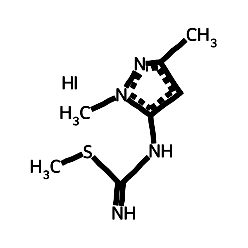 CSC(=N)Nc1cc(C)nn1C.I